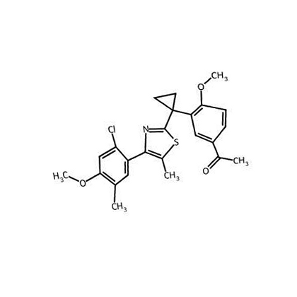 COc1cc(Cl)c(-c2nc(C3(c4cc(C(C)=O)ccc4OC)CC3)sc2C)cc1C